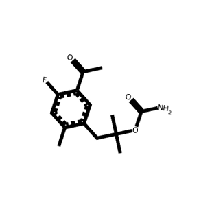 CC(=O)c1cc(CC(C)(C)OC(N)=O)c(C)cc1F